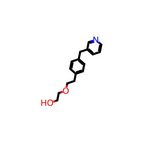 OCCOCCc1ccc(Cc2cccnc2)cc1